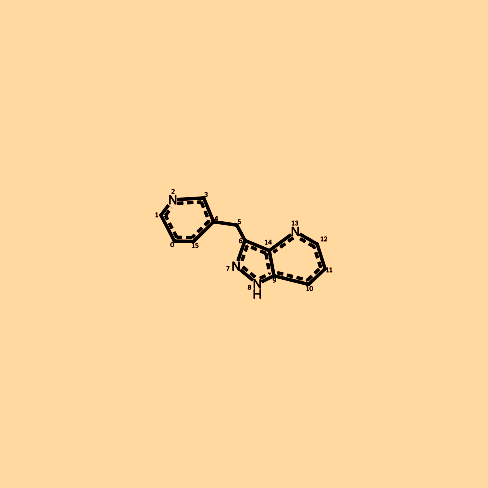 c1cncc(Cc2n[nH]c3cccnc23)c1